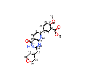 COC(=O)c1cc(-c2ccc3c(=O)[nH]c(CC4CCOCC4)nc3n2)ccc1OC